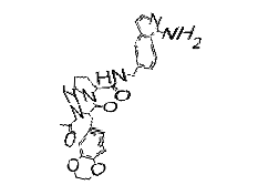 CC(=O)NC(C(=O)N1CCC[C@H]1C(=O)NCc1ccc2c(N)nccc2c1)c1ccc2c(c1)OCCO2